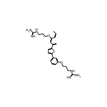 C=C(/C=C(\C=C/C)OCCCNC(=N)N)c1ccc(-c2cccc(OCCCNC(=N)N)c2)s1